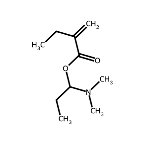 C=C(CC)C(=O)OC(CC)N(C)C